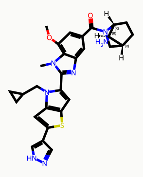 COc1cc(C(=O)N2C[C@H]3CC[C@@H]2[C@@H]3N)cc2nc(-c3cc4sc(-c5cn[nH]c5)cc4n3CC3CC3)n(C)c12